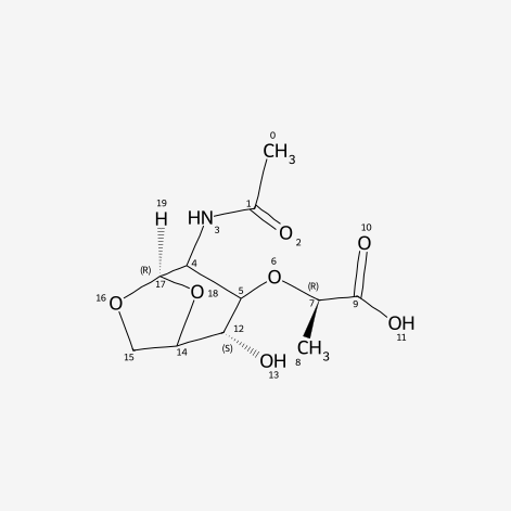 CC(=O)NC1C(O[C@H](C)C(=O)O)[C@H](O)C2CO[C@@H]1O2